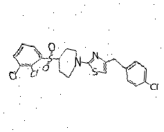 O=S(=O)(c1cccc(Cl)c1Cl)C1CCN(c2nc(Cc3ccc(Cl)cc3)cs2)CC1